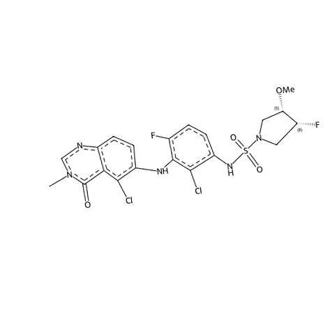 CO[C@H]1CN(S(=O)(=O)Nc2ccc(F)c(Nc3ccc4ncn(C)c(=O)c4c3Cl)c2Cl)C[C@H]1F